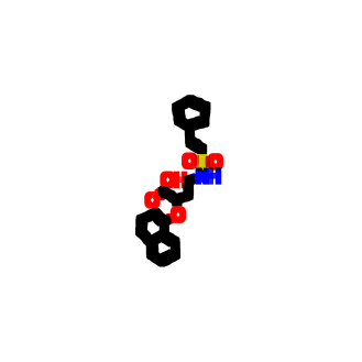 O=C(O)C(CCNS(=O)(=O)C=Cc1ccccc1)Oc1cccc2ccccc12